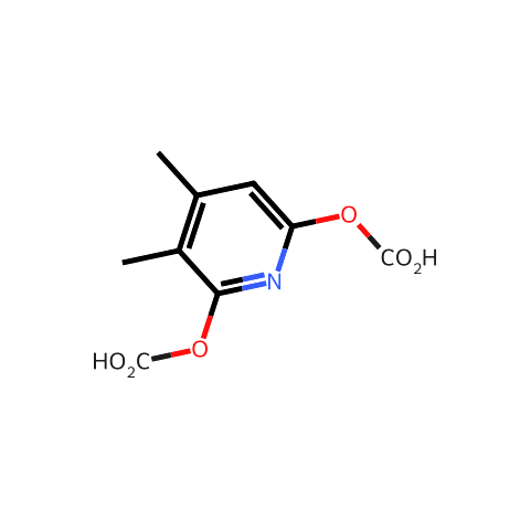 Cc1cc(OC(=O)O)nc(OC(=O)O)c1C